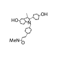 CNC(=O)C=Cc1ccc(Cn2c(-c3ccc(O)cc3)c(C)c3cc(O)ccc32)cc1